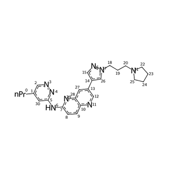 CCCc1cnnc(Nc2ccc3ncc(-c4cnn(CCCN5CCCC5)c4)cc3n2)c1